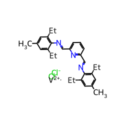 CCc1cc(C)cc(CC)c1N=Cc1cccc(C=Nc2c(CC)cc(C)cc2CC)n1.[Cl-].[Cl-].[V+2]